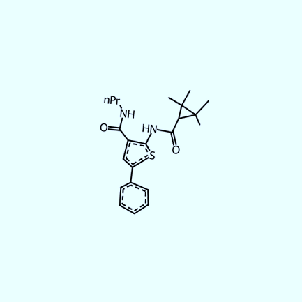 CCCNC(=O)c1cc(-c2ccccc2)sc1NC(=O)C1C(C)(C)C1(C)C